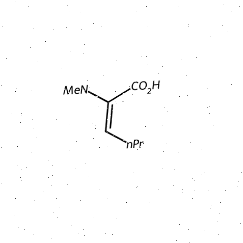 CCC/C=C(/NC)C(=O)O